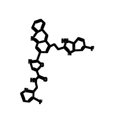 O=C(NCc1ncccc1F)c1cnc(-c2cc(CCc3nc4cc(F)ccc4[nH]3)c3cc4ccccc4nc3c2)o1